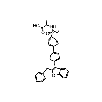 CC(NS(=O)(=O)c1ccc(-c2ccc(-c3c(Cc4ccccc4)oc4ccccc34)cc2)cc1)C(=O)O